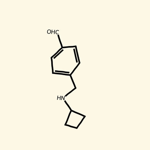 O=Cc1ccc(CNC2CCC2)cc1